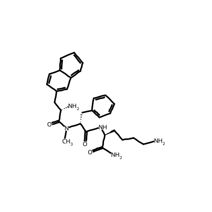 CN(C(=O)[C@@H](N)Cc1ccc2ccccc2c1)[C@H](Cc1ccccc1)C(=O)N[C@@H](CCCCN)C(N)=O